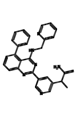 C=C(N)C(C)c1cncc(-c2nc(NCc3ccccn3)c3c(-c4ccccc4)cccc3n2)c1